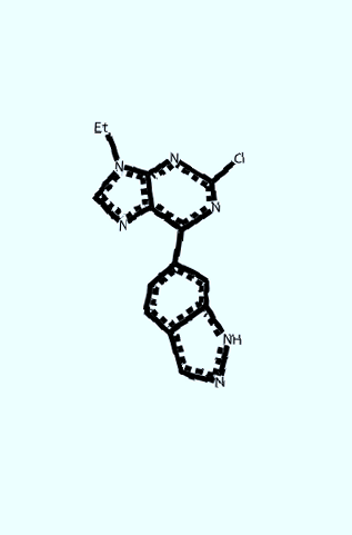 CCn1cnc2c(-c3ccc4cn[nH]c4c3)nc(Cl)nc21